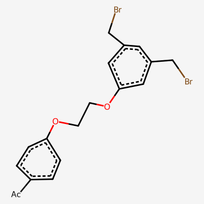 CC(=O)c1ccc(OCCOc2cc(CBr)cc(CBr)c2)cc1